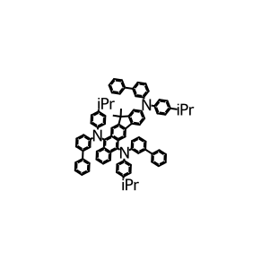 CC(C)c1ccc(N(c2cccc(-c3ccccc3)c2)c2ccc3c(c2)C(C)(C)c2cc4c(N(c5ccc(C(C)C)cc5)c5cccc(-c6ccccc6)c5)c5ccccc5c(N(c5ccc(C(C)C)cc5)c5cccc(-c6ccccc6)c5)c4cc2-3)cc1